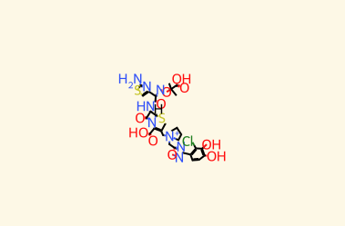 CC(C)(O/N=C(\C(=O)N[C@@H]1C(=O)N2C(C(=O)O)=C(C[N+]3(Cc4nc(-c5ccc(O)c(O)c5Cl)no4)CCCC3)CS[C@H]12)c1csc(N)n1)C(=O)O